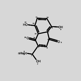 CCCCCCCC(O)C1=CC(=O)c2c(O)ccc(O)c2C1=O